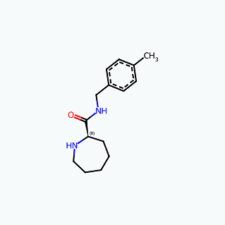 Cc1ccc(CNC(=O)[C@H]2CCCCCN2)cc1